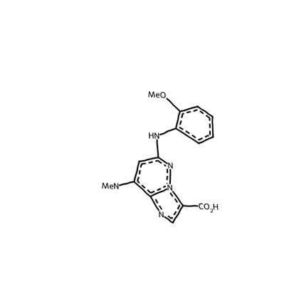 CNc1cc(Nc2ccccc2OC)nn2c(C(=O)O)cnc12